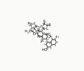 C#Cc1c(F)ccc2cc(O)cc(-c3ccc4c(N5C[C@@H](F)[C@@H](F)C5)nc(OC(=C)[C@@]56CCCN5C[C@H](F)C6)nc4c3F)c12